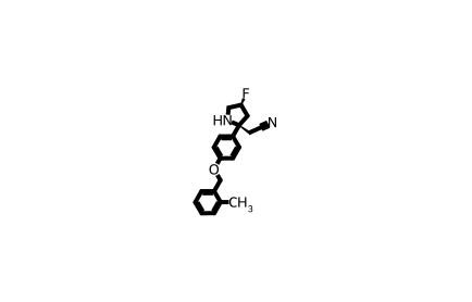 Cc1ccccc1COc1ccc([C@@]2(CC#N)C[C@H](F)CN2)cc1